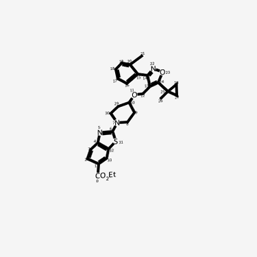 CCOC(=O)c1ccc2nc(N3CCC(OCc4c(-c5ccccc5C)noc4C4(C)CC4)CC3)sc2c1